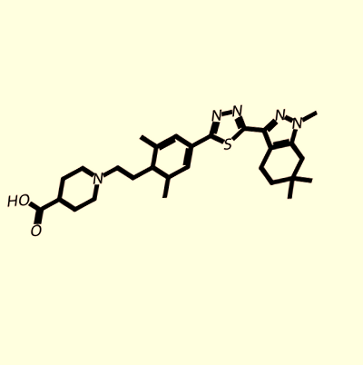 CC1=CC(c2nnc(-c3nn(C)c4c3CCC(C)(C)C4)s2)=CC(C)C1CCN1CCC(C(=O)O)CC1